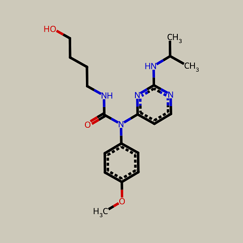 COc1ccc(N(C(=O)NCCCCO)c2ccnc(NC(C)C)n2)cc1